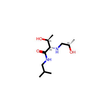 CC(C)CNC(=O)[C@@H](NC[C@H](C)O)[C@H](C)O